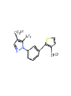 CCOC(=O)c1cnn(-c2cccc(-c3sccc3C=O)c2)c1C(F)(F)F